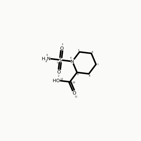 NS(=O)(=O)N1CCCCC1C(=O)O